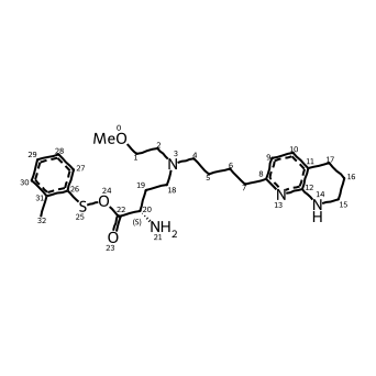 COCCN(CCCCc1ccc2c(n1)NCCC2)CC[C@H](N)C(=O)OSc1ccccc1C